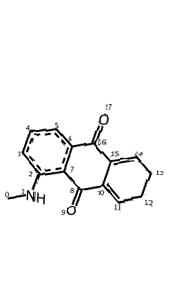 CNc1cccc2c1C(=O)C1=CCCC=C1C2=O